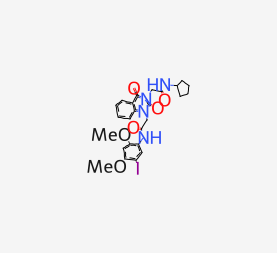 COc1cc(OC)c(NC(=O)Cn2c(=O)n(CC(=O)NC3CCCC3)c(=O)c3ccccc32)cc1I